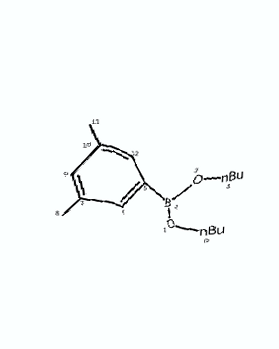 CCCCOB(OCCCC)c1cc(C)cc(C)c1